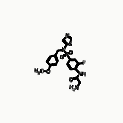 COc1ccc(CN(c2cncs2)S(=O)(=O)c2ccc(NC(=O)CN)c(F)c2)cc1